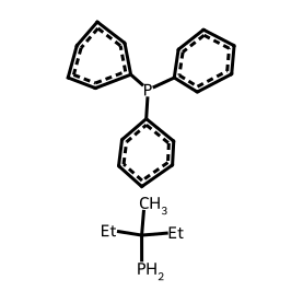 CCC(C)(P)CC.c1ccc(P(c2ccccc2)c2ccccc2)cc1